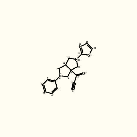 C#CC(=O)C12CN(c3ccccc3)CC1CN(c1nccs1)C2